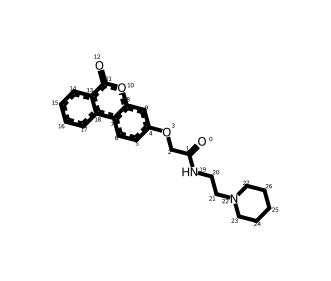 O=C(COc1ccc2c(c1)oc(=O)c1ccccc12)NCCN1CCCCC1